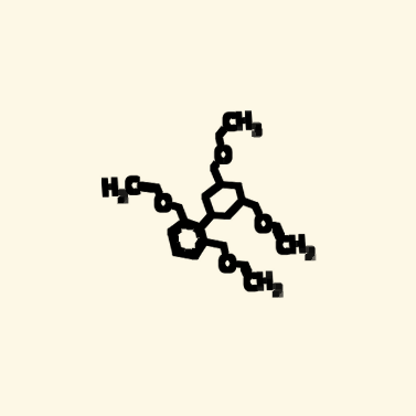 C=COCc1cccc(COC=C)c1C1CC(COC=C)CC(COCC)C1